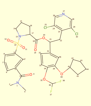 CN(C)C(=O)c1cccc(S(=O)(=O)N2CCCC2C(=O)OC(Cc2c(Cl)cncc2Cl)c2ccc(OC(F)F)c(OC3CCCC3)c2)c1